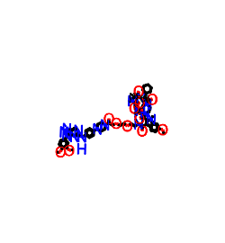 COc1ccc2c(C(=O)NCCOCCOCC(=O)N3CCN(c4ccc(Nc5ncc6nnn(-c7ccc(OC)c(OC)c7)c6n5)cc4)CC3)c(C(=O)N3CCN(C(=O)[C@@H](NC(=O)[C@H](C)N(C)C(=O)OC(C)(C)C)C4CCCCC4)CC3)n(C)c2c1